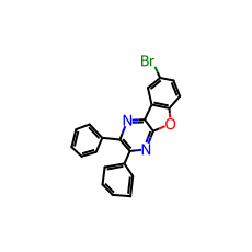 Brc1ccc2oc3nc(-c4ccccc4)c(-c4ccccc4)nc3c2c1